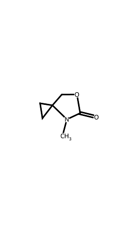 CN1C(=O)OCC12CC2